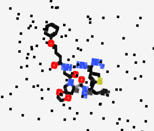 CC(C)C[C@@H](NC(=O)[C@@H]1CC2(CN1C(=O)CNC(=O)CCCOc1ccccc1)OCCO2)c1cc(C(=N)N)cs1